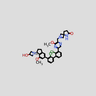 COc1cc(-c2cccc(-c3cccc(-c4cnc(CN5CC6(CCC(=O)N6)C5)c(OC)n4)c3Cl)c2Cl)cc2c1[C@@H](N1CC(O)C1)CC2